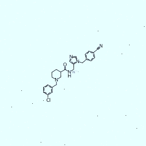 C[C@H](NC(=O)C1CCCN(Cc2cccc(Cl)c2)C1)c1cncn1Cc1ccc(C#N)cc1